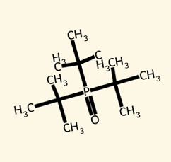 CC(C)(C)P(=O)(C(C)(C)C)C(C)(C)C